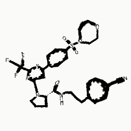 N#Cc1ccc(CCNC(=O)[C@@H]2CCCN2c2cc(-c3ccc(S(=O)(=O)N4CCOCC4)cc3)nc(C(F)(F)F)n2)cc1